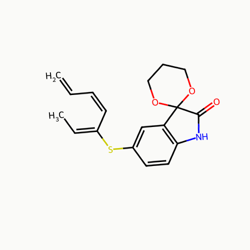 C=C/C=C\C(=C/C)Sc1ccc2c(c1)C1(OCCCO1)C(=O)N2